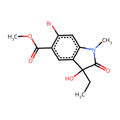 CCC1(O)C(=O)N(C)c2cc(Br)c(C(=O)OC)cc21